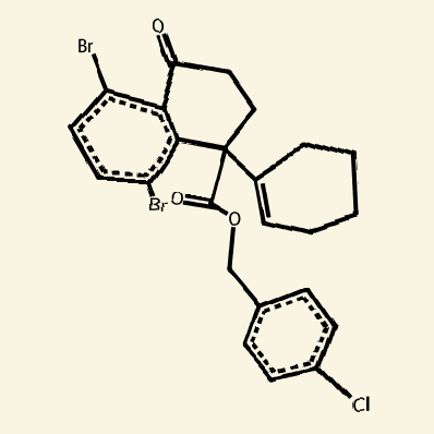 O=C1CCC(C(=O)OCc2ccc(Cl)cc2)(C2=CCCCC2)c2c(Br)ccc(Br)c21